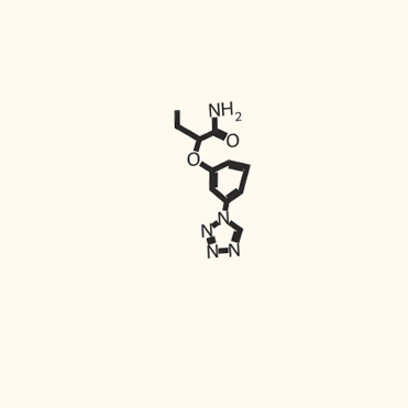 CCC(Oc1cccc(-n2cnnn2)c1)C(N)=O